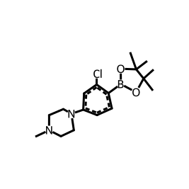 CN1CCN(c2ccc(B3OC(C)(C)C(C)(C)O3)c(Cl)c2)CC1